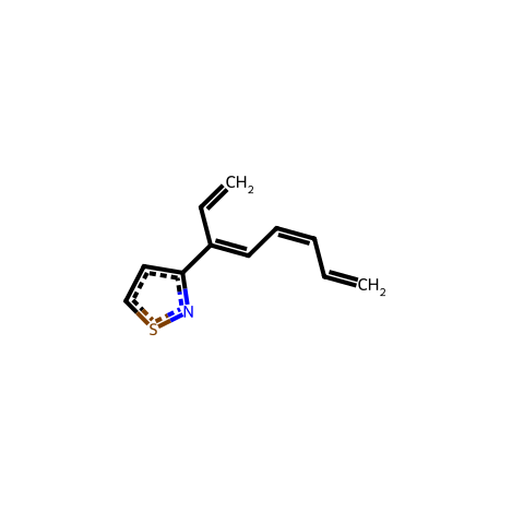 C=C/C=C\C=C(/C=C)c1ccsn1